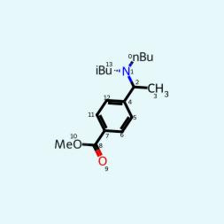 CCCCN(C(C)c1ccc(C(=O)OC)cc1)[C@@H](C)CC